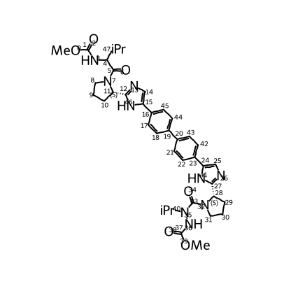 COC(=O)NC(C(=O)N1CCC[C@H]1c1ncc(-c2ccc(-c3ccc(-c4cnc([C@@H]5CCCN5C(=O)N(NC(=O)OC)C(C)C)[nH]4)cc3)cc2)[nH]1)C(C)C